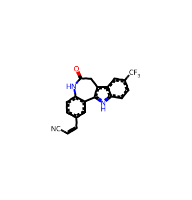 N#C/C=C\c1ccc2c(c1)-c1[nH]c3ccc(C(F)(F)F)cc3c1CC(=O)N2